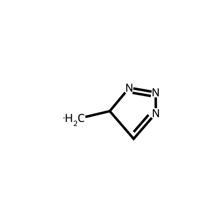 [CH2]C1C=NN=N1